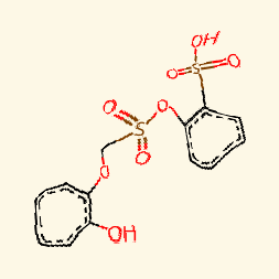 O=S(=O)(COc1ccccc1O)Oc1ccccc1S(=O)(=O)O